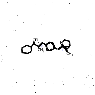 C=C1/C(=C/c2ccc(/C=C(\C)C(=C)C3CCCCC3)cc2)N2CCC1CC2